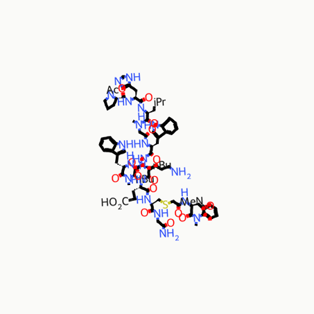 CCCC[C@@H](C(=O)N(C)[C@@H](CCCC)C(=O)N[C@@H](CCC(=O)O)C(=O)N[C@@H](CSCC(=O)N[C@@H](Cc1ccccc1)C(=O)N(C)[C@@H](C)C(=O)NC)C(=O)NCC(N)=O)N(C)C(=O)[C@H](Cc1c[nH]c2ccccc12)NC(=O)[C@H](CCCCN)NC(=O)[C@H](Cc1c[nH]c2ccccc12)NC(=O)CN(C)C(=O)[C@H](CC(C)C)NC(=O)[C@H](Cc1cnc[nH]1)NC(=O)[C@@H]1CCCN1C(C)=O